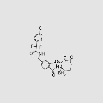 BC1(N2Cc3cc(CNC(=O)C(F)(F)c4ccc(Cl)cc4)ccc3C2=O)CCCC(=O)NC1=O